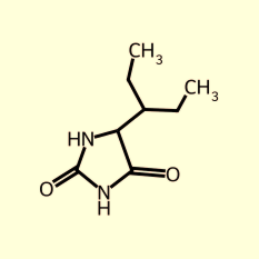 CCC(CC)C1NC(=O)NC1=O